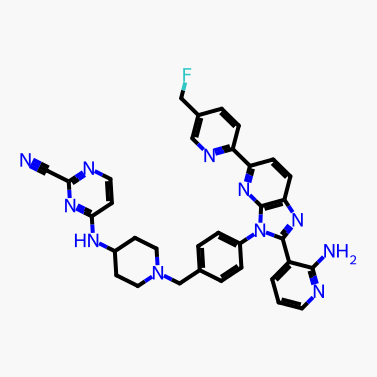 N#Cc1nccc(NC2CCN(Cc3ccc(-n4c(-c5cccnc5N)nc5ccc(-c6ccc(CF)cn6)nc54)cc3)CC2)n1